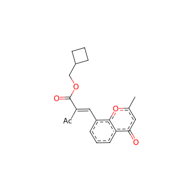 CC(=O)/C(=C\c1cccc2c(=O)cc(C)oc12)C(=O)OCC1CCC1